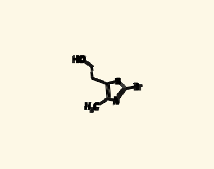 Cc1nc(Br)sc1CCO